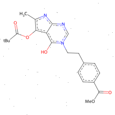 COC(=O)c1ccc(CCn2cnc3nc(C)c(OC(=O)C(C)(C)C)c-3c2O)cc1